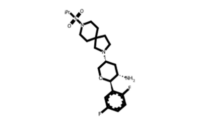 CC(C)S(=O)(=O)N1CCC2(CCN([C@H]3CO[C@H](c4cc(F)ccc4F)[C@@H](N)C3)C2)CC1